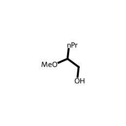 CCCC(CO)OC